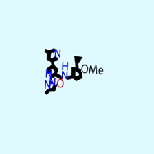 COc1ccc(CNC(=O)c2cc(-c3cncc(C)c3)cnc2-n2ccc(C)n2)cc1C1CC1